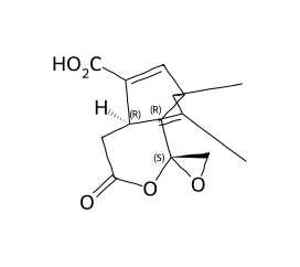 CC1=C[C@@]23C(C=C(C(=O)O)[C@@H]2CC(=O)O[C@]32CO2)C1C